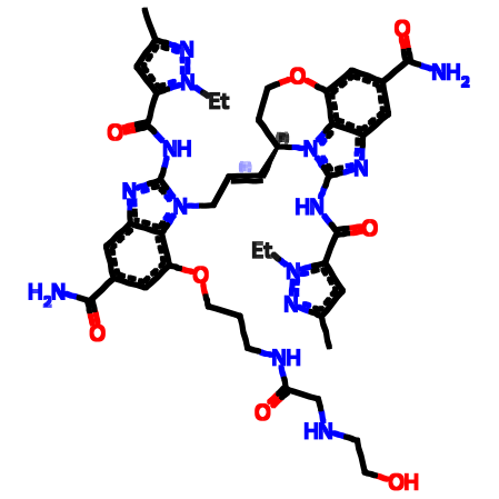 CCn1nc(C)cc1C(=O)Nc1nc2cc(C(N)=O)cc(OCCCNC(=O)CNCCO)c2n1C/C=C/[C@H]1CCOc2cc(C(N)=O)cc3nc(NC(=O)c4cc(C)nn4CC)n1c23